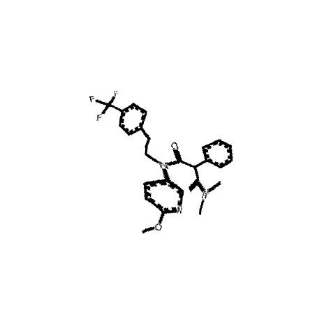 C=C(C(C(=O)N(CCc1ccc(C(F)(F)F)cc1)c1ccc(OC)nc1)c1ccccc1)N(C)C